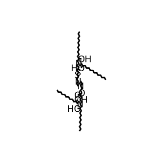 CCCCCCCCCCCCC(O)CN(CCCSSCCN1CCN(CCOC(=O)CCCN(CC(O)CCCCCCCCCC)CC(O)CCCCCCCCCC)CC1)CC(O)CCCCCCCCCCCC